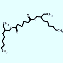 CCCCCCC(CC)COC(=O)CCCCC(=O)OCC(CC)CCCCCC